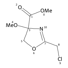 COC(=O)C1(OC)COC(CCl)=N1